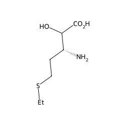 CCSCC[C@@H](N)C(O)C(=O)O